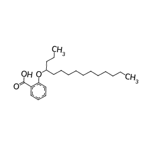 CCCCCCCCCCCC(CCC)Oc1ccccc1C(=O)O